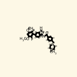 COc1cc(OC)c(F)c(-c2ccc3c(NC(=O)c4ccc(CN5CCN(C)CC5)cc4)n[nH]c3c2)c1F